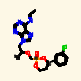 [3H]C(Cn1cnc2c(N=CC)ncnc21)OC[P@@]1(=O)OCC[C@@H](c2cccc(Cl)c2)O1